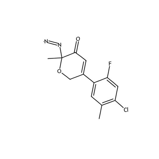 Cc1cc(C2=CC(=O)C(C)(N=[N])OC2)c(F)cc1Cl